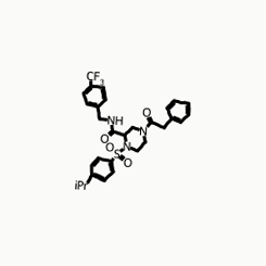 CC(C)c1ccc(S(=O)(=O)N2CCN(C(=O)Cc3ccccc3)CC2C(=O)NCc2ccc(C(F)(F)F)cc2)cc1